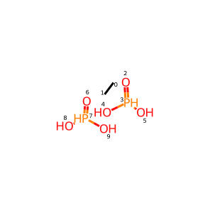 CC.O=[PH](O)O.O=[PH](O)O